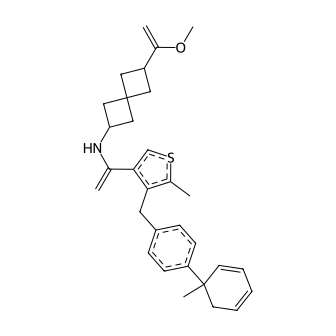 C=C(NC1CC2(C1)CC(C(=C)OC)C2)c1csc(C)c1Cc1ccc(C2(C)C=CC=CC2)cc1